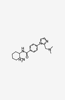 CN(C)Cc1nccn1-c1ccc(C(=O)NC2CCCCC2N)cc1